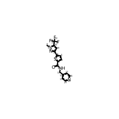 Cn1nc(-c2ccc(C(=O)NCc3ccncc3)s2)cc1C(F)(F)F